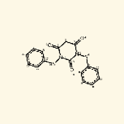 O=C1CC(=O)N(Sc2ccccc2)C(=O)N1Sc1ccccc1